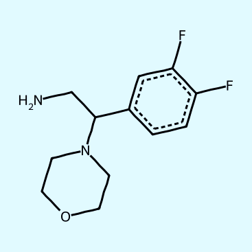 NCC(c1ccc(F)c(F)c1)N1CCOCC1